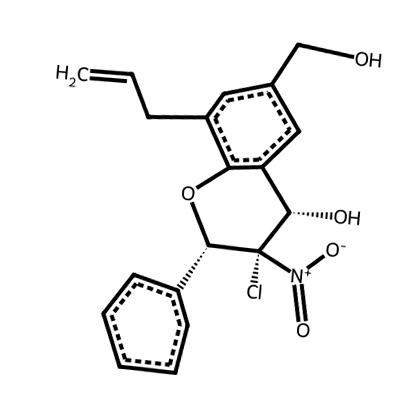 C=CCc1cc(CO)cc2c1O[C@@H](c1ccccc1)[C@](Cl)([N+](=O)[O-])[C@H]2O